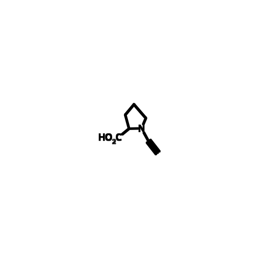 C#CN1CCCC1C(=O)O